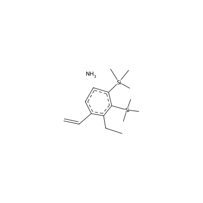 C=Cc1ccc([Si](C)(C)C)c([Si](C)(C)C)c1CC.N